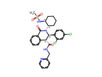 CS(=O)(=O)N[C@H]1CCCC[C@@H]1N1C(=O)c2ccccc2[C@@H](C(=O)NCc2ccccn2)[C@@H]1c1ccc(Cl)cc1Cl